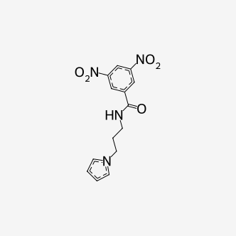 O=C(NCCCn1cccc1)c1cc([N+](=O)[O-])cc([N+](=O)[O-])c1